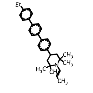 C/C=C/N1C(C)(C)CC(c2ccc(-c3ccc(-c4ccc(CC)cc4)cc3)cc2)CC1(C)C